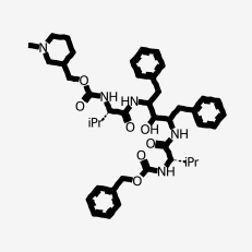 CC(C)[C@H](NC(=O)OCc1ccccc1)C(=O)NC(Cc1ccccc1)C(O)C(Cc1ccccc1)NC(=O)[C@@H](NC(=O)OCC1CCCN(C)C1)C(C)C